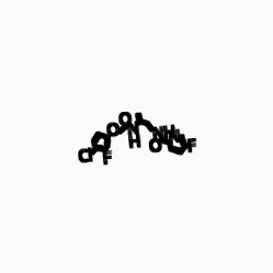 C=C(CCNC(=O)c1ccc(F)cn1)NC(=O)COc1ccc(Cl)c(F)c1